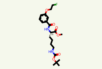 COC(=O)[C@H](CCCCNC(=O)OC(C)(C)C)NC(=O)c1cccc(OCCF)c1